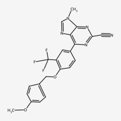 COc1ccc(COc2ccc(-c3nc(C#N)nc4c3ncn4C)cc2C(F)(F)F)cc1